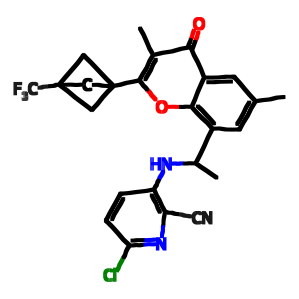 Cc1cc(C(C)Nc2ccc(Cl)nc2C#N)c2oc(C34CC(C(F)(F)F)(C3)C4)c(C)c(=O)c2c1